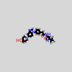 CC1(O)CCN(c2ccc3c(c2)ncn3-c2ccc(CC(=O)Nc3cc(C(C)(C)C)no3)cc2)CC1